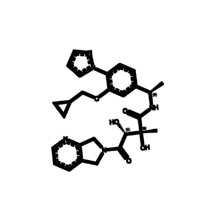 C[C@@H](NC(=O)[C@](C)(O)[C@@H](O)C(=O)N1Cc2cccnc2C1)c1ccc(-n2cccn2)c(OCC2CC2)c1